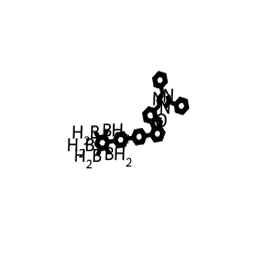 Bc1c(B)c(B)c(-c2ccc(-c3ccc(-c4cccc5oc6c(-c7nc(-c8ccccc8)nc(-c8ccccc8)n7)cccc6c45)cc3)cc2)c(B)c1B